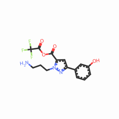 NCCCn1nc(-c2cccc(O)c2)cc1C(=O)OC(=O)C(F)(F)F